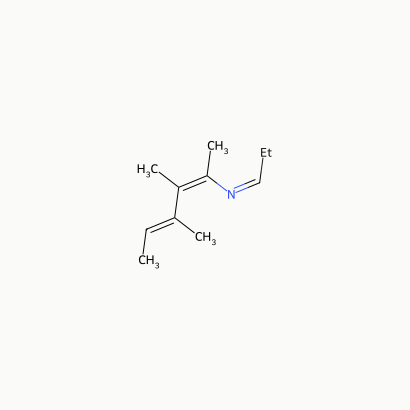 C/C=C(C)/C(C)=C(C)\N=C/CC